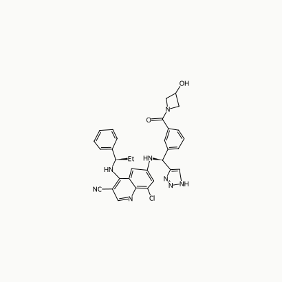 CC[C@@H](Nc1c(C#N)cnc2c(Cl)cc(N[C@@H](c3cccc(C(=O)N4CC(O)C4)c3)c3c[nH]nn3)cc12)c1ccccc1